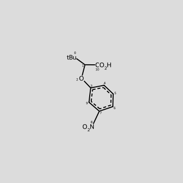 CC(C)(C)C(Oc1cccc([N+](=O)[O-])c1)C(=O)O